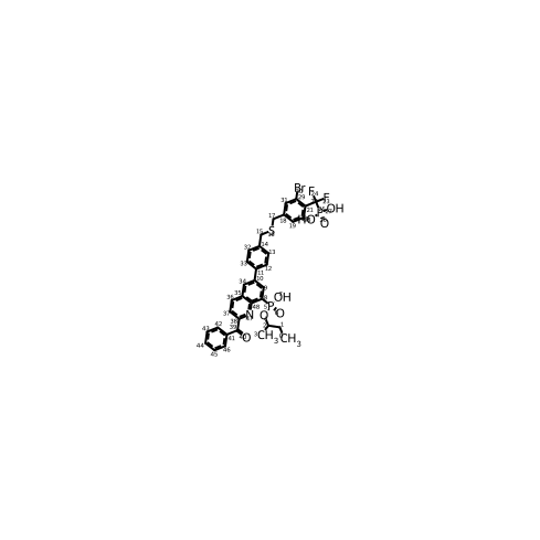 CCC(C)OP(=O)(O)c1cc(-c2ccc(CSCc3ccc(C(F)(F)P(=O)(O)O)c(Br)c3)cc2)cc2ccc(C(=O)c3ccccc3)nc12